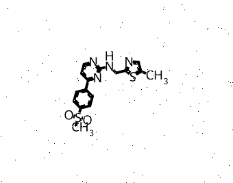 Cc1cnc(CNc2nccc(-c3ccc(S(C)(=O)=O)cc3)n2)s1